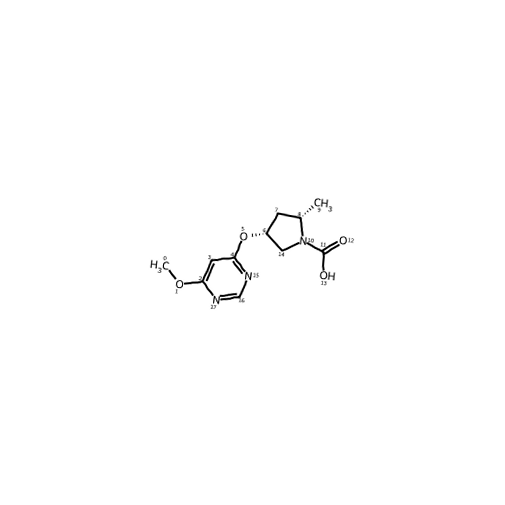 COc1cc(O[C@@H]2C[C@H](C)N(C(=O)O)C2)ncn1